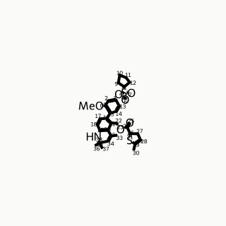 COc1cc(OS(=O)(=O)C2CCCC2)ccc1-c1ccc2c(c1COC(=O)C1CC=C(C)S1)C(C)=CC(C)(C)N2